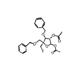 CC(=O)OC1O[C@](CF)(COCc2ccccc2)[C@@H](OCc2ccccc2)[C@H]1OC(C)=O